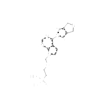 C[Si](C)(C)CCOCn1ccc2c(-n3cc4c(n3)CNC4)ncnc21